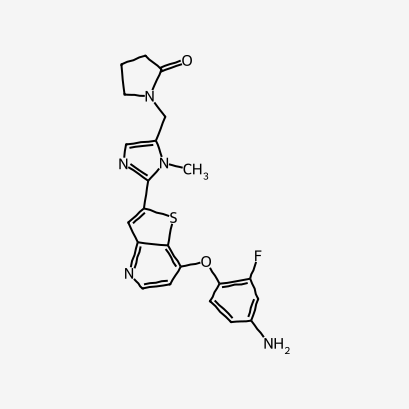 Cn1c(CN2CCCC2=O)cnc1-c1cc2nccc(Oc3ccc(N)cc3F)c2s1